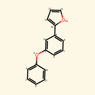 c1ccc(Oc2cccc(-c3ccco3)c2)cc1